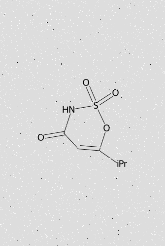 CC(C)C1=CC(=O)NS(=O)(=O)O1